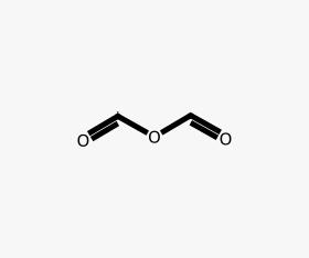 O=[C]OC=O